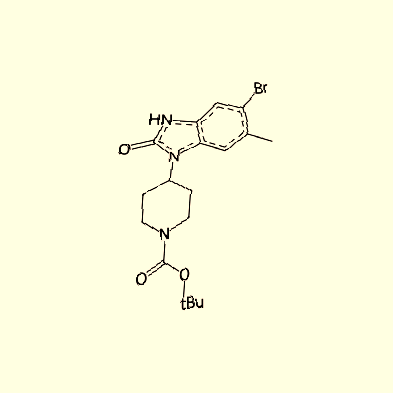 Cc1cc2c(cc1Br)[nH]c(=O)n2C1CCN(C(=O)OC(C)(C)C)CC1